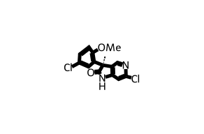 COc1ccc(Cl)cc1[C@]1(C)C(=O)Nc2cc(Cl)ncc21